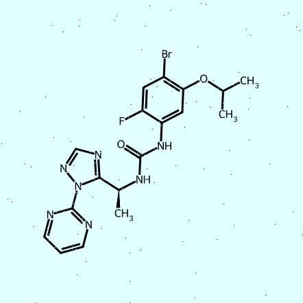 CC(C)Oc1cc(NC(=O)N[C@@H](C)c2ncnn2-c2ncccn2)c(F)cc1Br